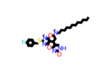 CCCCCCCCCCCCN(C)C(=O)CC(c1cnc(=O)[nH]c1)c1cn(C)c(SCc2ccc(F)cc2)nc1=O